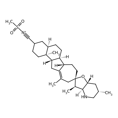 CC1=C2C[C@H]3[C@@H](CC[C@@H]4CC(C#[N+]S(C)(=O)=O)CC[C@@]43C)[C@@H]2CC[C@@]2(C1)O[C@@H]1C[C@H](C)CN[C@H]1[C@H]2C